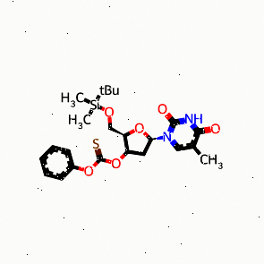 Cc1cn([C@H]2CC(OC(=S)Oc3ccccc3)[C@@H](CO[Si](C)(C)C(C)(C)C)O2)c(=O)[nH]c1=O